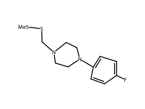 CSSCN1CCN(c2ccc(F)cc2)CC1